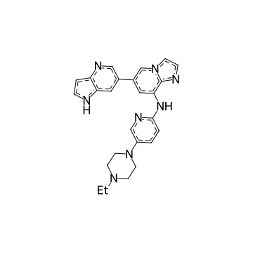 CCN1CCN(c2ccc(Nc3cc(-c4cnc5cc[nH]c5c4)cn4ccnc34)nc2)CC1